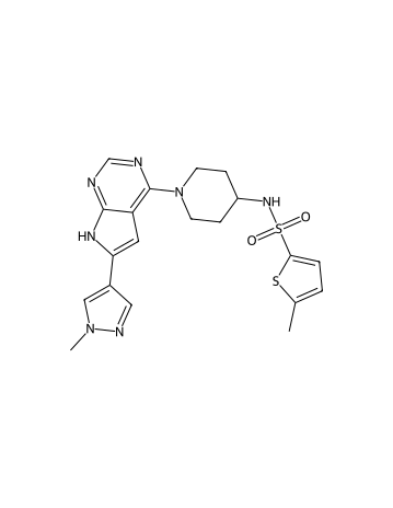 Cc1ccc(S(=O)(=O)NC2CCN(c3ncnc4[nH]c(-c5cnn(C)c5)cc34)CC2)s1